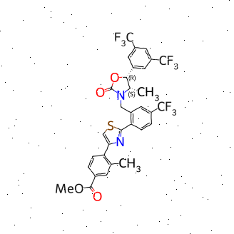 COC(=O)c1ccc(-c2csc(-c3ccc(C(F)(F)F)cc3CN3C(=O)O[C@H](c4cc(C(F)(F)F)cc(C(F)(F)F)c4)[C@@H]3C)n2)c(C)c1